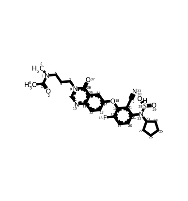 CC(=O)N(C)CCCn1cnc2ccc(Oc3c(F)ccc(N(C4CCCC4)[SH](=O)=O)c3C#N)cc2c1=O